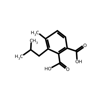 Cc1ccc(C(=O)O)c(C(=O)O)c1CC(C)C